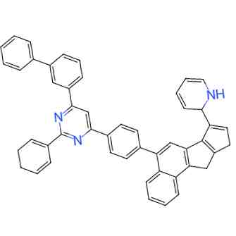 C1=CNC(C2=CCC3=C2c2cc(-c4ccc(-c5cc(-c6cccc(-c7ccccc7)c6)nc(C6=CCCC=C6)n5)cc4)c4ccccc4c2C3)C=C1